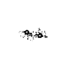 CCCCc1ccc(C(=O)[NH][Zr+2][NH]C(=O)c2ccc(CCCC)c(C)c2C)c(C)c1C.[F-].[F-]